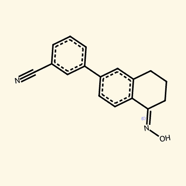 N#Cc1cccc(-c2ccc3c(c2)CCC/C3=N\O)c1